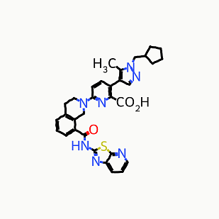 Cc1c(-c2ccc(N3CCc4cccc(C(=O)Nc5nc6cccnc6s5)c4C3)nc2C(=O)O)cnn1CC1CCCC1